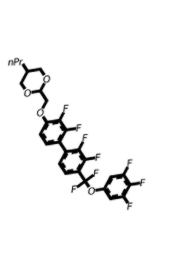 CCCC1COC(COc2ccc(-c3ccc(C(F)(F)Oc4cc(F)c(F)c(F)c4)c(F)c3F)c(F)c2F)OC1